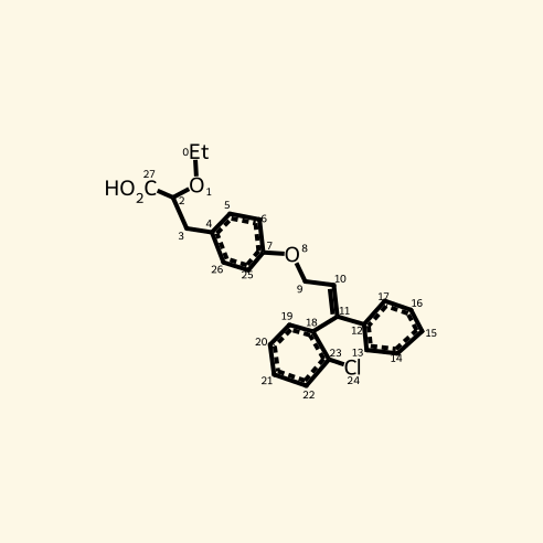 CCOC(Cc1ccc(OCC=C(c2ccccc2)c2ccccc2Cl)cc1)C(=O)O